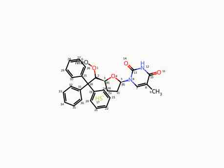 COOC([C@H]1O[C@@H](n2cc(C)c(=O)[nH]c2=O)C[C@@H]1S)C(c1ccccc1)(c1ccccc1)c1ccccc1